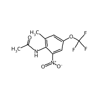 CC(=O)Nc1c(C)cc(OC(F)(F)F)cc1[N+](=O)[O-]